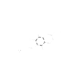 CCCCCC1CCc2c(I)c(OCOC)c(F)c(F)c2O1